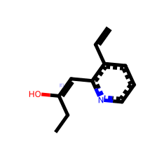 C=Cc1cccnc1/C=C(/O)CC